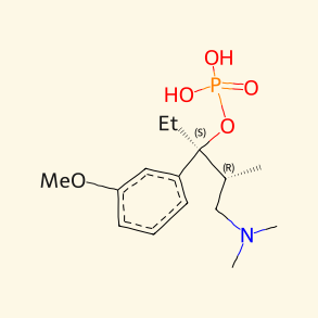 CC[C@@](OP(=O)(O)O)(c1cccc(OC)c1)[C@H](C)CN(C)C